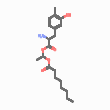 CCCCCCCC(=O)OC(C)OC(=O)[C@@H](N)Cc1ccc(C)c(O)c1